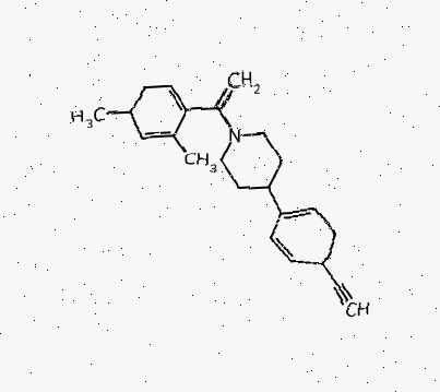 C#CC1C=CC(C2CCN(C(=C)C3=CCC(C)C=C3C)CC2)=CC1